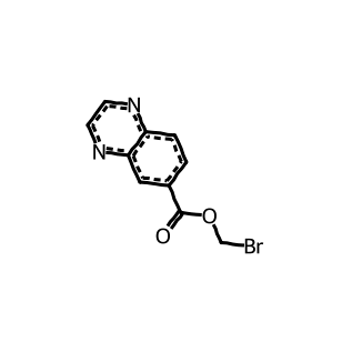 O=C(OCBr)c1ccc2nccnc2c1